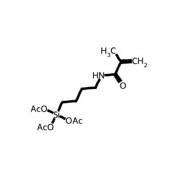 C=C(C)C(=O)NCCCC[Si](OC(C)=O)(OC(C)=O)OC(C)=O